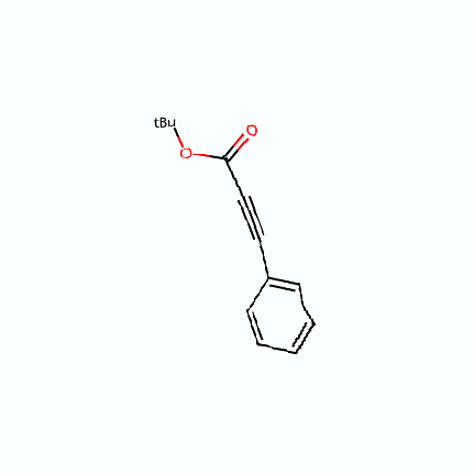 CC(C)(C)OC(=O)C#Cc1ccccc1